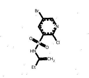 C=C(CC)NS(=O)(=O)c1cc(Br)cnc1Cl